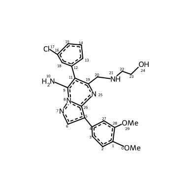 COc1ccc(-c2cnn3c(N)c(-c4cccc(Cl)c4)c(CNCCO)nc23)cc1OC